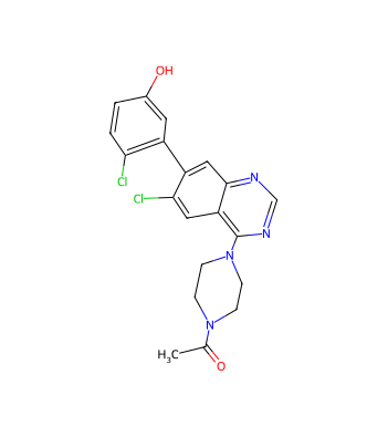 CC(=O)N1CCN(c2ncnc3cc(-c4cc(O)ccc4Cl)c(Cl)cc23)CC1